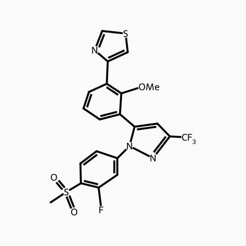 COc1c(-c2cscn2)cccc1-c1cc(C(F)(F)F)nn1-c1ccc(S(C)(=O)=O)c(F)c1